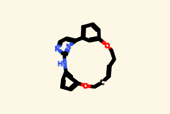 C1=C/CCOc2cccc(c2)-c2ccnc(n2)Nc2cccc(c2)OCC/1